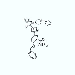 CN(C(=O)n1cnc(-c2ccc(OCc3ccccc3)c(C(N)=O)c2)c1)C1CCN(Cc2ccccc2)CC1